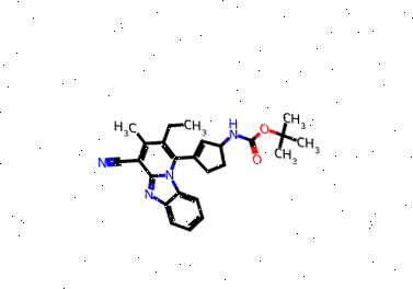 CCc1c(C)c(C#N)c2nc3ccccc3n2c1C1=CC(NC(=O)OC(C)(C)C)CC1